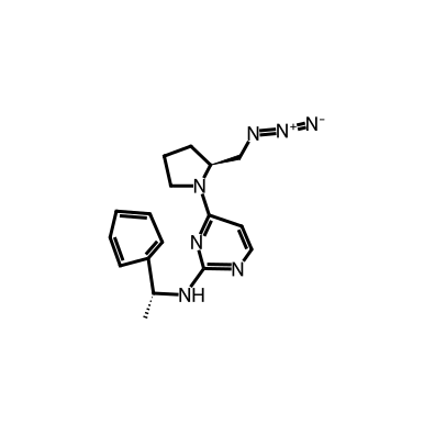 C[C@@H](Nc1nccc(N2CCC[C@H]2CN=[N+]=[N-])n1)c1ccccc1